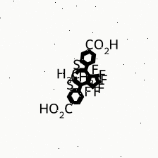 Cc1sc2cc(C(=O)O)ccc2c1C1=C(c2c(C)sc3cc(C(=O)O)ccc23)C(F)(F)C(F)(F)C1(F)F